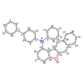 c1ccc(-c2ccc(N(c3ccccc3)c3cccc4oc5cc6ccccc6cc5c34)cc2)cc1